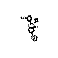 Cc1cccc(-c2nc3ccc(N4CCN5CCC4CC5)cc3c(=O)n2C2CCC2)c1